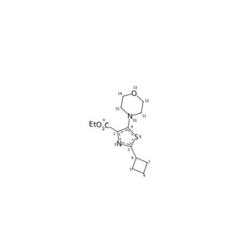 CCOC(=O)c1nc(C2CCC2)sc1N1CCOCC1